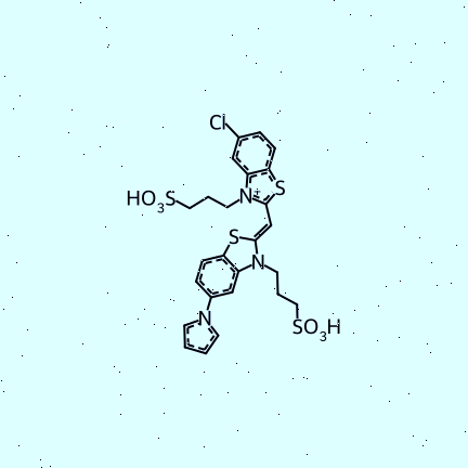 O=S(=O)(O)CCCN1/C(=C/c2sc3ccc(Cl)cc3[n+]2CCCS(=O)(=O)O)Sc2ccc(-n3cccc3)cc21